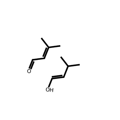 CC(C)=CC=O.CC(C)C=CO